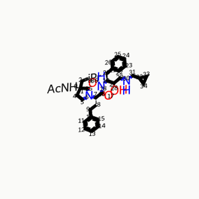 CC(=O)N[C@@]1(CC(C)C)CCN([C@@H](CCc2ccccc2)C(=O)N[C@@H](Cc2ccccc2)[C@H](O)CNCC2CC2)C1=O